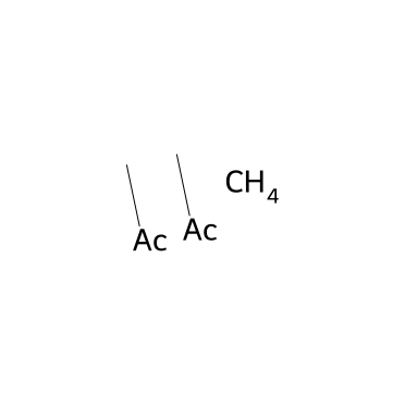 C.CC(C)=O.CC(C)=O